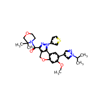 COc1cc2c(cc1-c1cnn(C(C)C)c1)-c1c(c(C(=O)N3CCOCC3(C)C)nn1-c1ccsc1)CO2